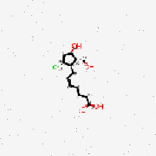 O=C(O)CCC/C=C\C[C@@H]1[C@@H](CO)[C@H](O)C[C@H]1Cl